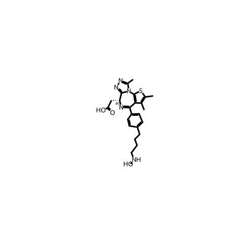 Cc1sc2c(c1C)C(c1ccc(CCCCNO)cc1)=N[C@H](CC(=O)O)c1nnc(C)n1-2